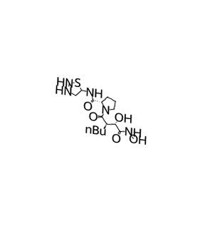 CCCC[C@@H](C(=O)N1CCC[C@H]1C(=O)NC1CNNS1)[C@H](O)C(=O)NO